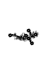 CNC(C[C@@H](O)CNC(=O)OCc1ccccc1)C(=O)N(C)[C@@H](Cc1cc(-c2ccc(OCc3ccccc3)c(C[C@H](NC(=O)OCc3ccccc3)C(=O)Oc3c(F)c(F)c(F)c(F)c3F)c2)ccc1Cl)C(=O)OC